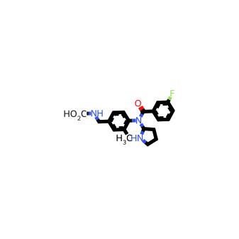 Cc1cc(CNC(=O)O)ccc1N(C(=O)c1cccc(F)c1)C1CCCN1